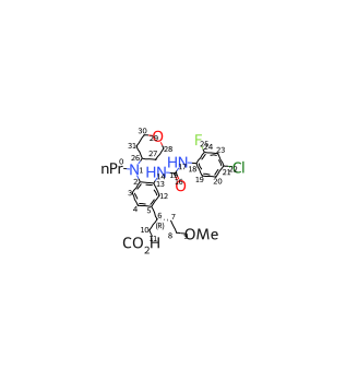 CCCN(c1ccc([C@H](CCOC)CC(=O)O)cc1NC(=O)Nc1ccc(Cl)cc1F)C1CCOCC1